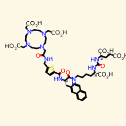 O=C(O)CC[C@H](NC(=O)N[C@@H](CCCCNC(=O)[C@H](Cc1ccc2ccccc2c1)NC(=O)c1ccc(CNC(=O)CN2CCN(CC(=O)O)CCN(CC(=O)O)CCN(CC(=O)O)CC2)s1)C(=O)O)C(=O)O